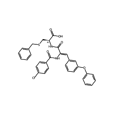 O=C(N[C@@H](CSCc1ccccc1)C(=O)O)C(=Cc1cccc(Oc2ccccc2)c1)NC(=O)c1ccc(Cl)cc1